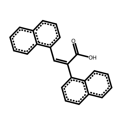 O=C(O)/C(=C\c1cccc2ccccc12)c1cccc2ccccc12